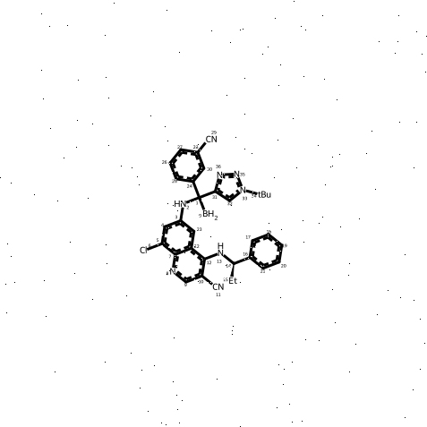 BC(Nc1cc(Cl)c2ncc(C#N)c(N[C@H](CC)c3ccccc3)c2c1)(c1cccc(C#N)c1)c1cn(C(C)(C)C)nn1